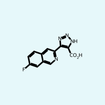 O=C(O)c1[nH]nnc1-c1cc2ccc(F)cc2cn1